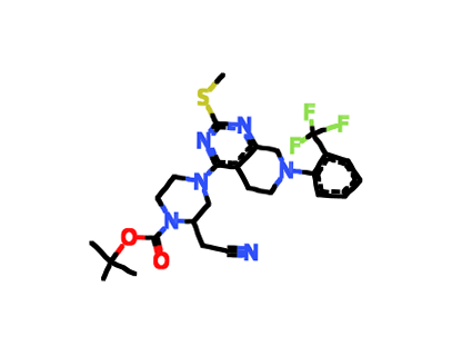 CSc1nc2c(c(N3CCN(C(=O)OC(C)(C)C)C(CC#N)C3)n1)CCN(c1ccccc1C(F)(F)F)C2